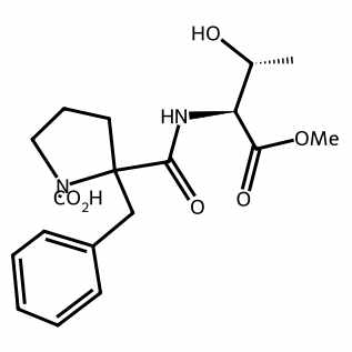 COC(=O)[C@@H](NC(=O)C1(Cc2ccccc2)CCCN1C(=O)O)[C@@H](C)O